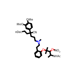 CCCCCCCCCCCCC(C#N)(CCCN(C)CCc1ccccc1OC(C)(C)C(O[N+](=O)[O-])C(C)NC(C)=O)c1ccc(OC)c(OC)c1